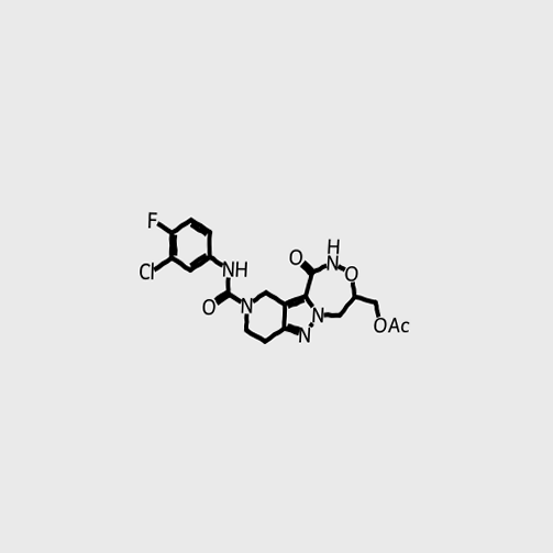 CC(=O)OCC1Cn2nc3c(c2C(=O)NO1)CN(C(=O)Nc1ccc(F)c(Cl)c1)CC3